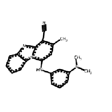 Cc1cc(Nc2cccc(N(C)C)c2)n2c(nc3ccccc32)c1C#N